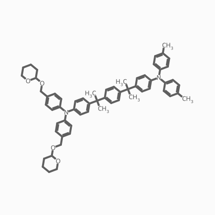 Cc1ccc(N(c2ccc(C)cc2)c2ccc(C(C)(C)c3ccc(C(C)(C)c4ccc(N(c5ccc(COC6CCCCO6)cc5)c5ccc(COC6CCCCO6)cc5)cc4)cc3)cc2)cc1